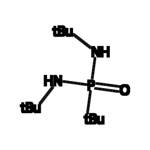 CC(C)(C)NP(=O)(NC(C)(C)C)C(C)(C)C